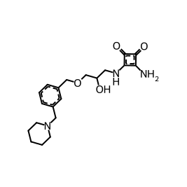 Nc1c(NCC(O)COCc2cccc(CN3CCCCC3)c2)c(=O)c1=O